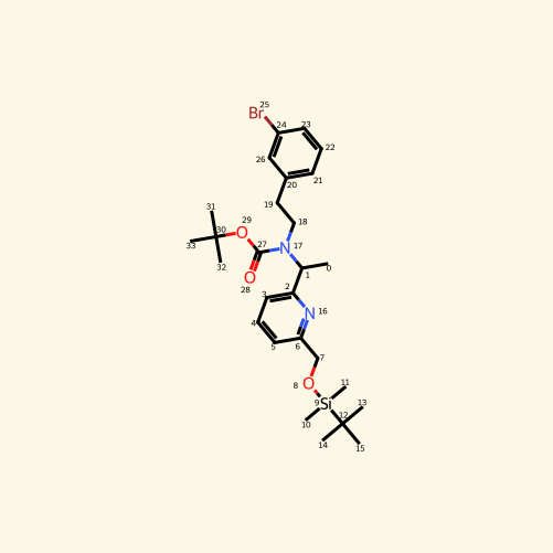 CC(c1cccc(CO[Si](C)(C)C(C)(C)C)n1)N(CCc1cccc(Br)c1)C(=O)OC(C)(C)C